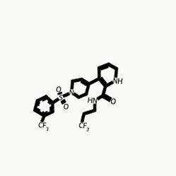 O=C(NCCC(F)(F)F)C1=C(C2=CCN(S(=O)(=O)c3cccc(C(F)(F)F)c3)CC2)C=CCN1